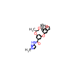 C[C@@H](CO[Si](C)(C)C(C)(C)C)Oc1cc(Oc2ccc3c(c2)CCO3)cc(C(=O)Nc2ccn(C)n2)c1